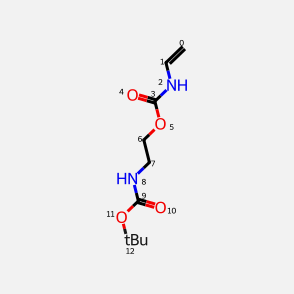 C=CNC(=O)OCCNC(=O)OC(C)(C)C